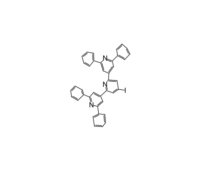 Ic1cc(-c2cc(-c3ccccc3)nc(-c3ccccc3)c2)nc(-c2cc(-c3ccccc3)nc(-c3ccccc3)c2)c1